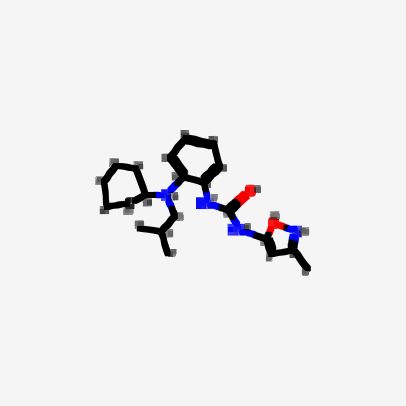 Cc1cc(NC(=O)Nc2ccccc2N(CC(C)C)C2CCCCC2)on1